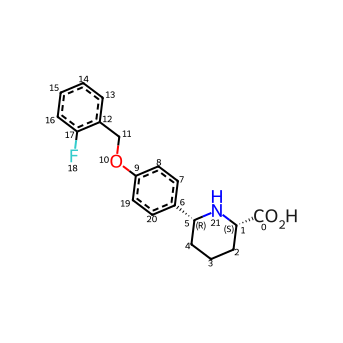 O=C(O)[C@@H]1CCC[C@H](c2ccc(OCc3ccccc3F)cc2)N1